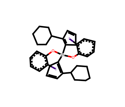 Ic1ccccc1[O][Zr]([O]c1ccccc1I)([C]1=C(C2CCCCC2)C=CC1)[C]1=C(C2CCCCC2)C=CC1